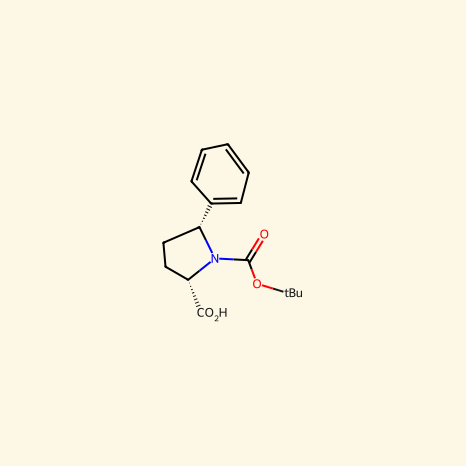 CC(C)(C)OC(=O)N1[C@@H](c2ccccc2)CC[C@H]1C(=O)O